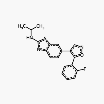 CC(C)Nc1nc2ccc(-c3cnoc3-c3ccccc3F)cc2s1